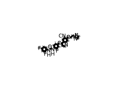 N#Cc1cc2c(Oc3ccc(NC(=O)Nc4ccc(F)cc4F)c(F)c3)ccnc2cc1OCCn1nccn1